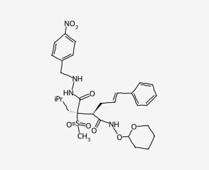 CC(C)C[C@](C(=O)NNCc1ccc([N+](=O)[O-])cc1)([C@@H](CC=Cc1ccccc1)C(=O)NOC1CCCCO1)S(C)(=O)=O